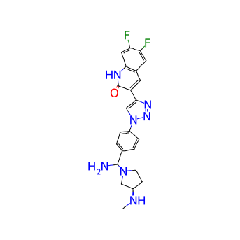 CN[C@@H]1CCN(C(N)c2ccc(-n3cc(-c4cc5cc(F)c(F)cc5[nH]c4=O)nn3)cc2)C1